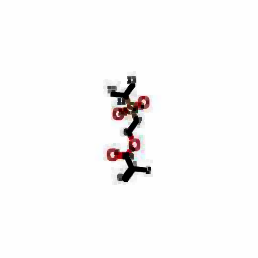 C=C(C)C(=O)OCCS(=O)(=O)C(C)C